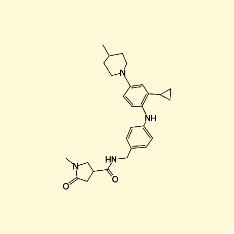 CC1CCN(c2ccc(Nc3ccc(CNC(=O)C4CC(=O)N(C)C4)cc3)c(C3CC3)c2)CC1